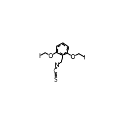 S=C=NCc1c(OCI)cccc1OCI